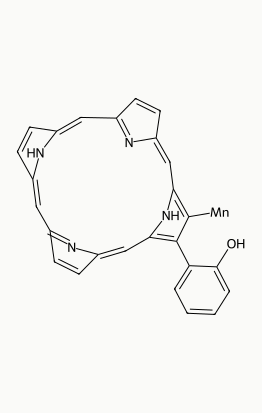 Oc1ccccc1-c1[c]([Mn])c2cc3nc(cc4ccc(cc5nc(cc1[nH]2)C=C5)[nH]4)C=C3